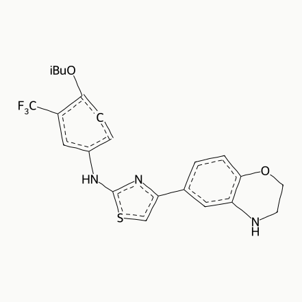 CC(C)COc1ccc(Nc2nc(-c3ccc4c(c3)NCCO4)cs2)cc1C(F)(F)F